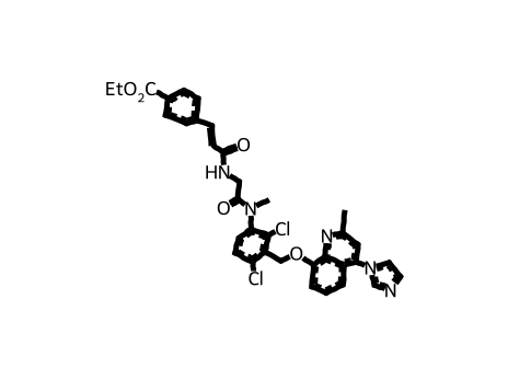 CCOC(=O)c1ccc(C=CC(=O)NCC(=O)N(C)c2ccc(Cl)c(COc3cccc4c(-n5ccnc5)cc(C)nc34)c2Cl)cc1